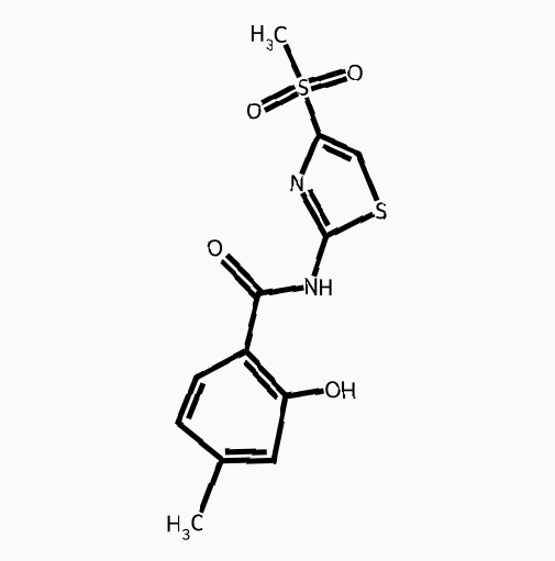 Cc1ccc(C(=O)Nc2nc(S(C)(=O)=O)cs2)c(O)c1